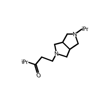 CC(C)C(=O)CCN1CC2CN(C(C)C)CC2C1